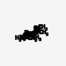 CCOC(=O)C(Cc1ccc(OC)c(OCc2cnc3ccc(OC)cc3c2OC(C)C)c1)C(=O)OCC